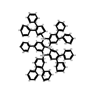 c1ccc(-c2cc3c4c(c2)N(c2ccc(-c5ccccc5)c(-c5ccccc5)c2)c2cc(-c5ccccc5)c(-c5ccccc5)cc2B4c2cc(-c4ccccc4)c(-c4ccccc4)cc2N3c2ccc(-c3ccccc3)c(-c3ccccc3)c2)cc1